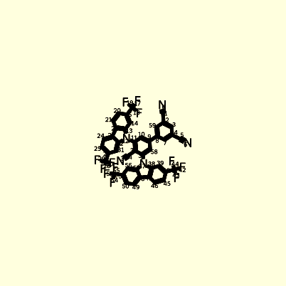 N#Cc1cc(C#N)cc(-c2cc(-n3c4cc(C(F)(F)F)ccc4c4ccc(C(F)(F)F)cc43)c(C#N)c(-n3c4cc(C(F)(F)F)ccc4c4ccc(C(F)(F)F)cc43)c2)c1